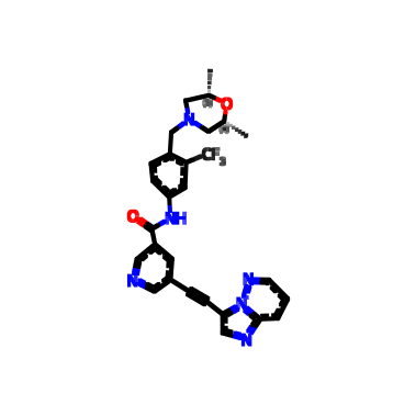 C[C@@H]1CN(Cc2ccc(NC(=O)c3cncc(C#Cc4cnc5cccnn45)c3)cc2C(F)(F)F)C[C@H](C)O1